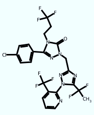 CC(F)(F)c1nc(Cn2nc(-c3ccc(Cl)cc3)n(CCC(F)(F)F)c2=O)nn1-c1ncccc1C(F)(F)F